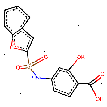 O=C(O)c1ccc(NS(=O)(=O)c2cc3ccccc3o2)cc1O